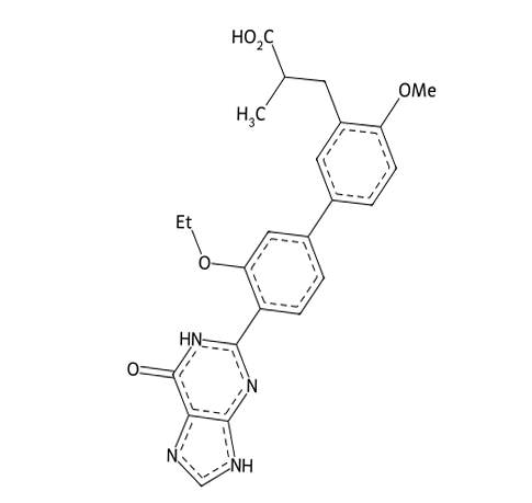 CCOc1cc(-c2ccc(OC)c(CC(C)C(=O)O)c2)ccc1-c1nc2[nH]cnc2c(=O)[nH]1